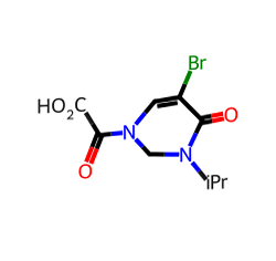 CC(C)N1CN(C(=O)C(=O)O)C=C(Br)C1=O